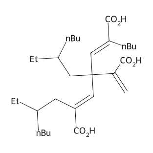 C=C(C(=O)O)C(C=C(CCCC)C(=O)O)(C=C(CC(CC)CCCC)C(=O)O)CC(CC)CCCC